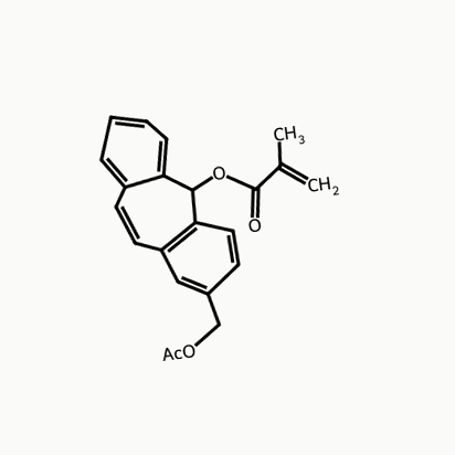 C=C(C)C(=O)OC1c2ccccc2C=Cc2cc(COC(C)=O)ccc21